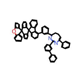 C1=C(c2ccccc2)/N=C(c2cccc(-c3ccccc3)c2)\N=C(\c2cccc(-c3cccc4c3-c3ccccc3C43c4ccccc4C4(c5ccccc5Oc5ccccc54)c4ccccc43)c2)CC\1